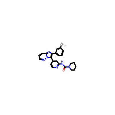 Cc1cccc(-c2nc3cccnn3c2-c2ccnc(NC(=O)N3CCCCC3)c2)c1